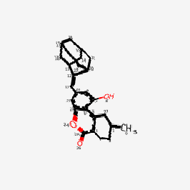 CC1CCc2c(c3c(O)cc(C=C4C5CC6CC(C5)CC4C6)cc3oc2=O)C1